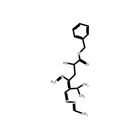 C=N\C(CC(S)C(=O)OCc1ccccc1)=C(/C=N\N=C\C)C(C)C